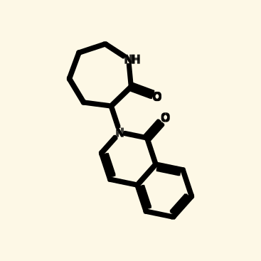 O=C1NCCCCC1n1ccc2ccccc2c1=O